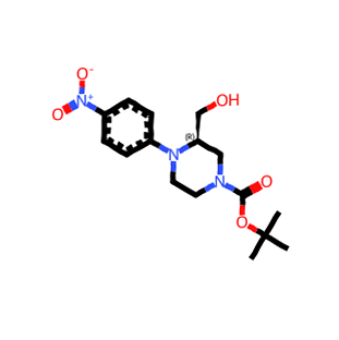 CC(C)(C)OC(=O)N1CCN(c2ccc([N+](=O)[O-])cc2)[C@@H](CO)C1